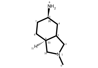 CN1CC2C[C@H](N)CC[C@@H]2C1